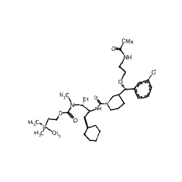 CC[C@H](C(CC1CCCCC1)NC(=O)N1CCCC([C@@H](OCCNC(=O)OC)c2cccc(Cl)c2)C1)N(C)C(=O)OCC[Si](C)(C)C